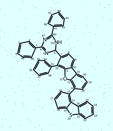 c1ccc(C2=NC(c3ccc4c(oc5c(-c6cccc7sc8ccccc8c67)cccc54)c3-c3ccccc3)NC(c3ccccc3)=N2)cc1